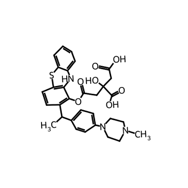 CC(c1ccc(N2CCN(C)CC2)cc1)c1ccc2c(c1OC(=O)CC(O)(CC(=O)O)C(=O)O)Nc1ccccc1S2